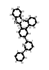 c1ccc(-c2cccc(-c3ccc4c(c3)c3ccccc3n3c5ccccc5nc43)n2)cc1